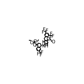 CCOC(=O)ON1c2ccc(C(F)(F)F)cc2[C@@H](Nc2ncc(OCCOC)c(Cc3cc(C(F)(F)F)cc(C(F)(F)F)c3)n2)C[C@H]1CC